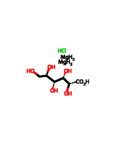 Cl.O=C(O)[C@H](O)[C@@H](O)[C@H](O)[C@H](O)CO.[MgH2].[MgH2]